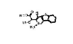 CCOC(C(=O)OC)C1=C(Cl)C2=C(CN1C)C1=CCCCC1S2